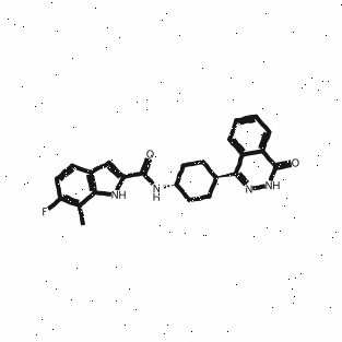 Cc1c(F)ccc2cc(C(=O)N[C@H]3CC[C@H](c4n[nH]c(=O)c5ccccc54)CC3)[nH]c12